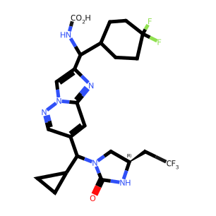 O=C(O)NC(c1cn2ncc(C(C3CC3)N3C[C@@H](CC(F)(F)F)NC3=O)cc2n1)C1CCC(F)(F)CC1